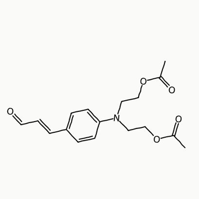 CC(=O)OCCN(CCOC(C)=O)c1ccc(C=CC=O)cc1